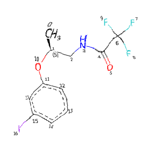 C[C@@H](CNC(=O)C(F)(F)F)Oc1cccc(I)c1